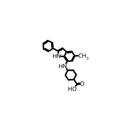 Cc1cc(NC2CCC(C(=O)O)CC2)c2[nH]c(-c3ccccc3)cc2c1